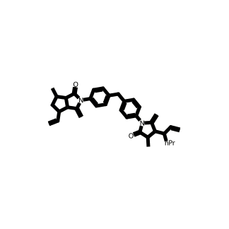 C=CC(CCC)C1C(=C)N(c2ccc(Cc3ccc(N4C(=C)C5C(C=C)CC(C)C5C4=O)cc3)cc2)C(=O)C1C